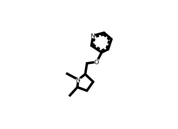 CC1CCC(COc2cccnc2)N1C